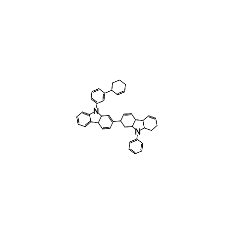 C1=CC(c2cccc(N3c4ccccc4C4C=CC(C5C=CC6C7C=CCCC7N(c7ccccc7)C6C5)=CC43)c2)CCC1